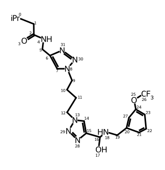 CC(C)CC(=O)NCc1cn(CCCCn2cc(C(O)NCc3cccc(OC(F)(F)F)c3)nn2)nn1